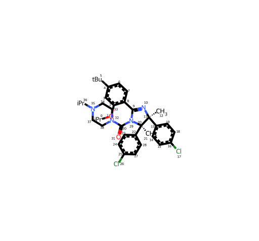 CC(C)Oc1cc(C(C)(C)C)ccc1C1=N[C@@](C)(c2ccc(Cl)cc2)[C@@](C)(c2ccc(Cl)cc2)N1C(=O)N1CCN(C(C)C)CC1